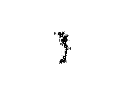 CCOc1cc(N2CCC(NCCNCCCc3cc(F)c([C@H]4CCC(=O)NC4=O)c(F)c3)CC2)c(CC)cc1Nc1ncc(Br)c(Nc2cc(F)c3nc(CC)ccc3c2P(C)(C)=O)n1